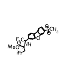 COC(=O)[C@H](CC(C)C)NC(c1ccc2c(c1)oc1cc(S(C)(=O)=O)ccc12)C(F)(F)F